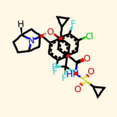 O=C(NS(=O)(=O)C1CC1)c1cc(C2CC2)c(CN2C3CC[C@@H]2C[C@H](Oc2cc(C(F)(F)F)cc(Cl)c2F)C3)cc1F